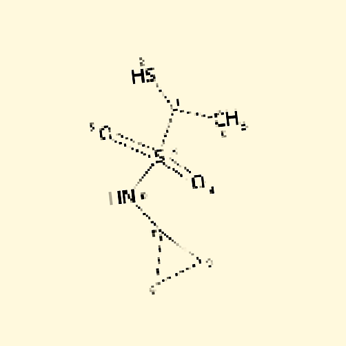 CC(S)S(=O)(=O)NC1CC1